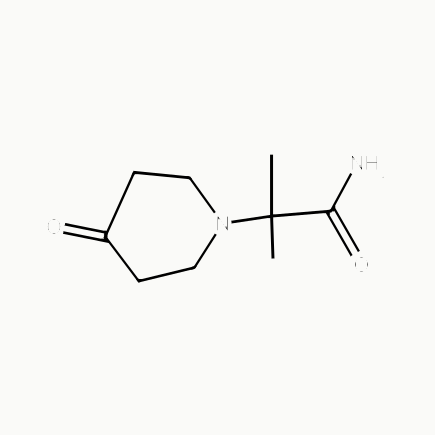 CC(C)(C(N)=O)N1CCC(=O)CC1